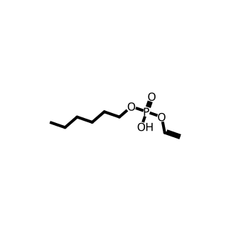 C=COP(=O)(O)OCCCCCC